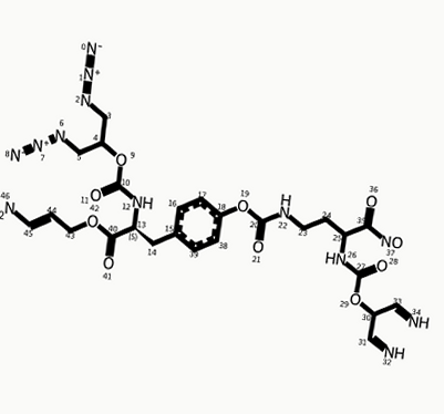 [N-]=[N+]=NCC(CN=[N+]=[N-])OC(=O)N[C@@H](Cc1ccc(OC(=O)NCCC(NC(=O)OC(C=N)C=N)C(=O)N=O)cc1)C(=O)OCC=CN